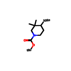 CNC1CCN(C(=O)OC(C)(C)C)CC1(C)C